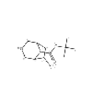 CC(C)(C)OC(=O)N1C2COCC1C(N)C2